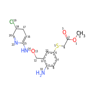 COC(=O)CSc1ccc(N)c(CONC2=CCC(Cl)C=N2)c1